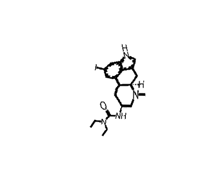 CCN(CC)C(=O)N[C@H]1CC2c3cc(I)cc4[nH]cc(c34)C[C@H]2N(C)C1